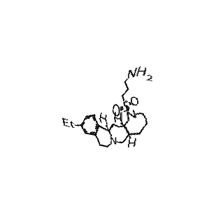 CCc1ccc2c(c1)CCN1C[C@H]3CCCN(S(=O)(=O)CCCN)[C@H]3C[C@@H]21